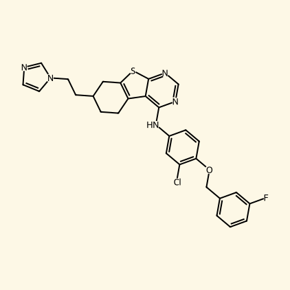 Fc1cccc(COc2ccc(Nc3ncnc4sc5c(c34)CCC(CCn3ccnc3)C5)cc2Cl)c1